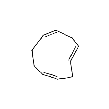 C1=C\CC/C=C\C/C=C/C/1